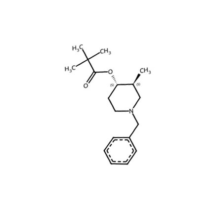 C[C@H]1CN(Cc2ccccc2)CC[C@@H]1OC(=O)C(C)(C)C